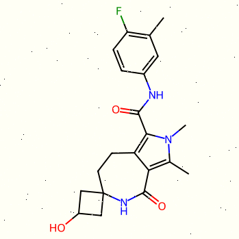 Cc1cc(NC(=O)c2c3c(c(C)n2C)C(=O)NC2(CC3)CC(O)C2)ccc1F